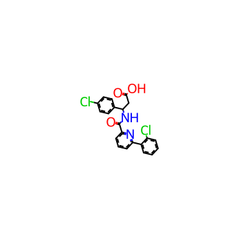 O=C(O)CC(NC(=O)c1cccc(-c2ccccc2Cl)n1)c1ccc(Cl)cc1